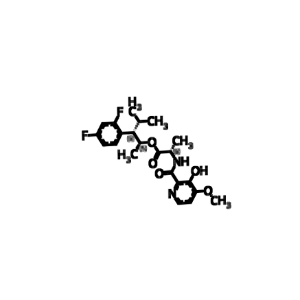 COc1ccnc(C(=O)N[C@@H](C)C(=O)O[C@@H](C)[C@H](c2ccc(F)cc2F)C(C)C)c1O